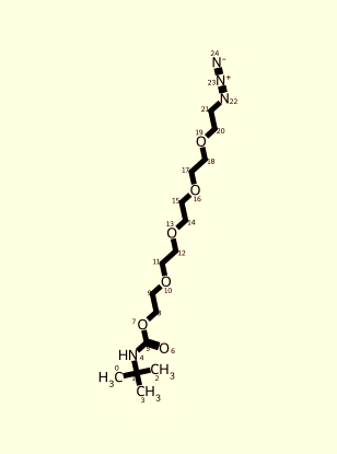 CC(C)(C)NC(=O)OCCOCCOCCOCCOCCN=[N+]=[N-]